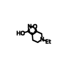 CCN1CCc2c(O)noc2C1